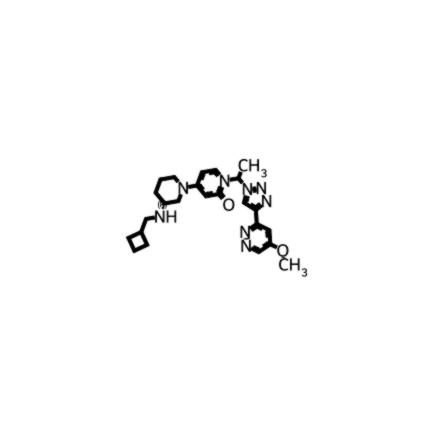 COc1cnnc(-c2cn(C(C)n3ccc(N4CCC[C@@H](NCC5CCC5)C4)cc3=O)nn2)c1